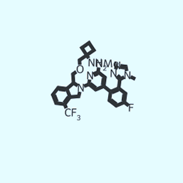 CNc1cc(-c2ccc(F)cc2-c2nncn2C)cc(N2Cc3c(cccc3C(F)(F)F)C2COCC2(N)CCC2)n1